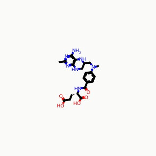 Cc1nc(N)c2c(n1)NCC(CN(C)c1ccc(C(=O)N[C@@H](CCC(=O)O)C(=O)O)cc1)N2